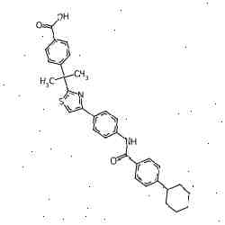 CC(C)(c1ccc(C(=O)O)cc1)c1nc(-c2ccc(NC(=O)c3ccc(C4CCCCC4)cc3)cc2)cs1